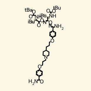 CC[C@H](C)[C@H](NC(=O)OC(C)(C)C)C(=O)ON=C(ON=C(N)c1ccc(OCCCC2CCN(CCCOc3ccc(C(N)=O)cc3)CC2)cc1)[C@@H](NC(=O)OC(C)(C)C)[C@@H](C)CC